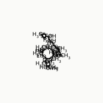 CC[C@H]1OC(=O)[C@H](C)[C@@H](O[C@H]2C[C@@](C)(OC)[C@@H](O)[C@H](C)O2)[C@H](C)[C@@H](O[C@@H]2O[C@H](C)C[C@H](N(C)CCCCC(=O)N[C@H](CF)[C@H](O)c3ccc(C)cc3)[C@H]2O)[C@](C)(O)C[C@@H](C)CN(C)[C@H](C)[C@@H](O)[C@]1(C)O